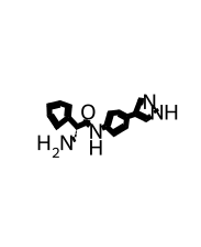 NC[C@@H](C(=O)Nc1ccc(-c2cn[nH]c2)cc1)c1ccccc1